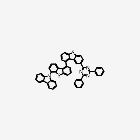 c1ccc(-c2nc(-c3ccccc3)nc(-c3ccc4sc5cccc(-c6cccc7sc8c(-n9c%10ccccc%10c%10ccccc%109)cccc8c67)c5c4c3)n2)cc1